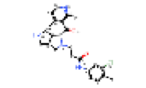 Cc1ccc(NC(=O)CCN2CC3CNCC3[C@H]2C(=O)c2c(C)ccnc2C)cc1Cl